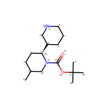 CC1CC[C@@H](C2CCCNC2)N(C(=O)OC(C)(C)C)C1